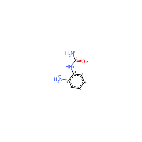 NC(=O)Nc1ccccc1N